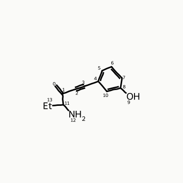 C=C(C#Cc1cccc(O)c1)C(N)CC